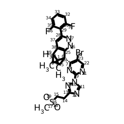 CC1(C)[C@H]2CC[C@]1(c1nc(-n3cnc(CCS(C)(=O)=O)n3)ncc1Br)c1nnc(-c3c(F)cccc3F)cc12